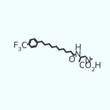 CN(C)CC(CC(=O)O)NC(=O)CCCCCCCCCc1ccc(C(F)(F)F)cc1